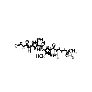 CN(C)CCCNC(=O)c1cc(NC(=O)c2cc(NC(=O)CCCl)cn2C)cn1C.Cl